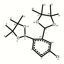 CCc1ccc(B2OC(C)(C)C(C)(C)O2)c(C2OC(C)(C)C(C)(C)O2)c1